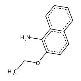 CCOc1ccc2ccccc2c1N